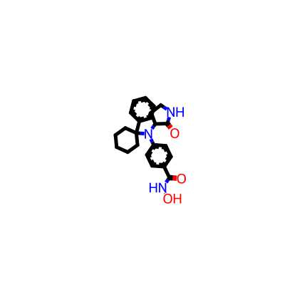 O=C(NO)c1ccc(N(C2CCNC2=O)C2(c3ccccc3)CCCCC2)cc1